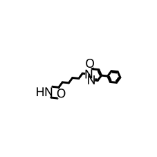 O=c1cc(-c2ccccc2)cnn1CCCCCC1CNCCO1